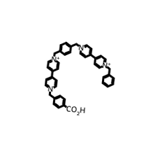 O=C(O)c1ccc(C[n+]2ccc(-c3cc[n+](Cc4ccc(C[n+]5ccc(-c6cc[n+](Cc7ccccc7)cc6)cc5)cc4)cc3)cc2)cc1